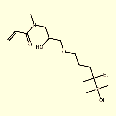 C=CC(=O)N(C)CC(O)COCCCC(C)(CC)[Si](C)(C)O